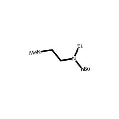 CCCCN(CC)CCNC